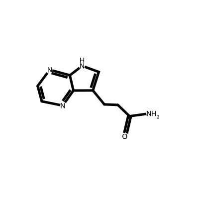 NC(=O)CCc1c[nH]c2nccnc12